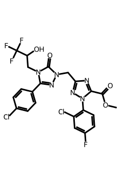 COC(=O)c1nc(Cn2nc(-c3ccc(Cl)cc3)n(CC(O)C(F)(F)F)c2=O)nn1-c1ccc(F)cc1Cl